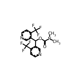 CN(C)C(=O)OC(c1cnccc1C(F)(F)F)c1cnccc1C(F)(F)F